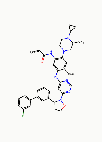 C=CC(=O)Nc1cc(Nc2cc(N3OCCC3c3cccc(-c4cccc(F)c4)c3)ncn2)c(OC)cc1N1CCN(C2CC2)C(C)C1